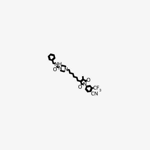 CC1=C(CCCCCCN2CCN(C(=O)NCc3ccccc3)CC2)C(=O)N(c2ccc(C#N)c(C(F)(F)F)c2)C1=O